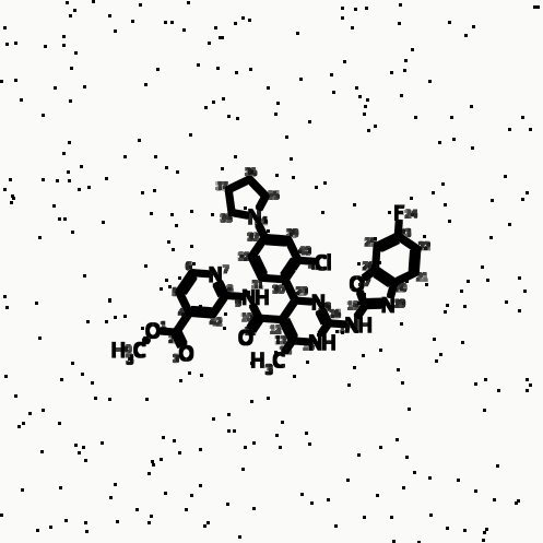 COC(=O)c1ccnc(NC(=O)C2=C(C)NC(Nc3nc4ccc(F)cc4o3)=NC2c2ccc(N3CCCC3)cc2Cl)c1